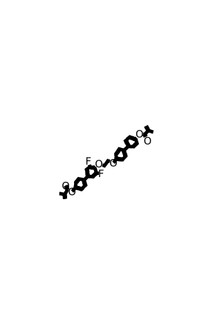 C=C(C)C(=O)Oc1ccc(-c2ccc(OCCOc3c(F)cc(-c4ccc(OC(=O)C(=C)C)cc4)cc3F)cc2)cc1